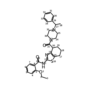 CCOc1ccccc1C(=O)Nc1nc2c(s1)CCCC2C(=O)N1CCN(C(C)c2ccccc2)CC1